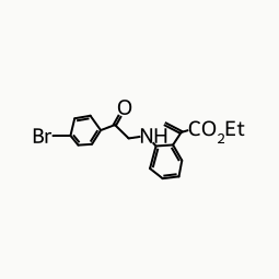 C=C(C(=O)OCC)c1ccccc1NCC(=O)c1ccc(Br)cc1